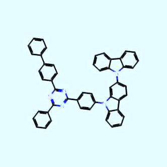 c1ccc(-c2ccc(-c3nc(-c4ccccc4)nc(-c4ccc(-n5c6ccccc6c6ccc(-n7c8ccccc8c8ccccc87)cc65)cc4)n3)cc2)cc1